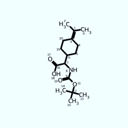 CC(C)=C1CCC(C(NC(=O)OC(C)(C)C)C(=O)O)CC1